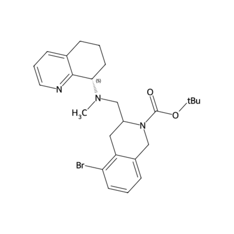 CN(CC1Cc2c(Br)cccc2CN1C(=O)OC(C)(C)C)[C@H]1CCCc2cccnc21